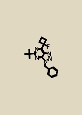 CC(C)(C)c1nc(C2(F)CCC2)c2nnn(Cc3ccccc3)c2n1